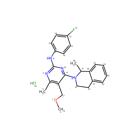 COCc1c(C)nc(Nc2ccc(F)cc2)nc1N1CCc2ccccc2C1C.Cl